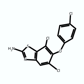 Nc1nc2cc(Cl)c(Oc3ccc(Cl)cc3)c(Cl)c2s1